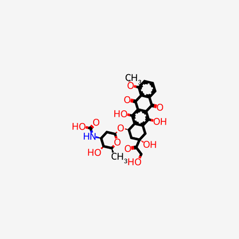 COc1cccc2c1C(=O)c1c(O)c3c(c(O)c1C2=O)C[C@@](O)(C(=O)CO)C[C@@H]3O[C@H]1C[C@H](NC(=O)O)[C@H](O)[C@H](C)O1